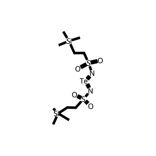 C[Si](C)(C)CCS(=O)(=O)N=[Te]=NS(=O)(=O)CC[Si](C)(C)C